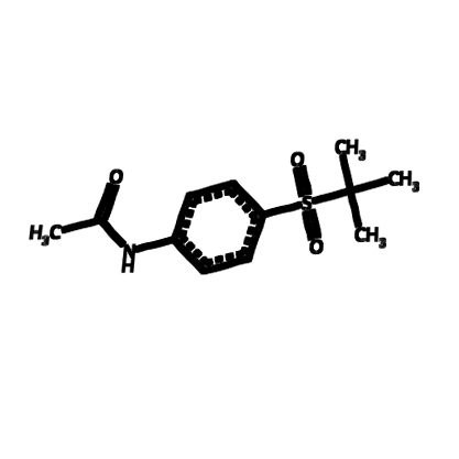 CC(=O)Nc1ccc(S(=O)(=O)C(C)(C)C)cc1